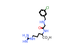 N=C(N)NCCCC(NC(=O)CNCc1cccc(Cl)c1)C(=O)O